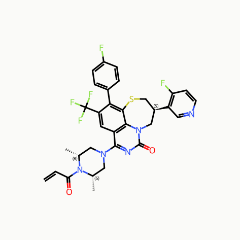 C=CC(=O)N1[C@H](C)CN(c2nc(=O)n3c4c(c(-c5ccc(F)cc5)c(C(F)(F)F)cc24)SC[C@@H](c2cnccc2F)C3)C[C@@H]1C